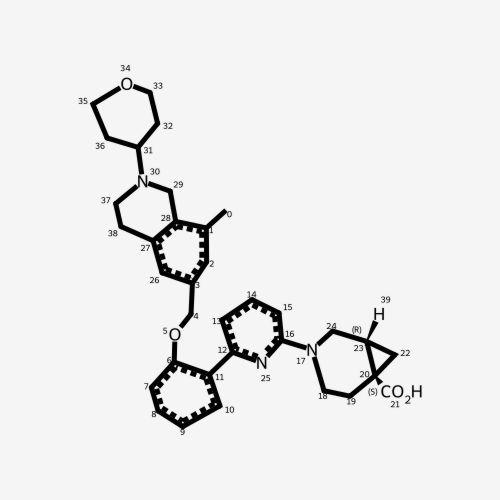 Cc1cc(COc2ccccc2-c2cccc(N3CC[C@@]4(C(=O)O)C[C@H]4C3)n2)cc2c1CN(C1CCOCC1)CC2